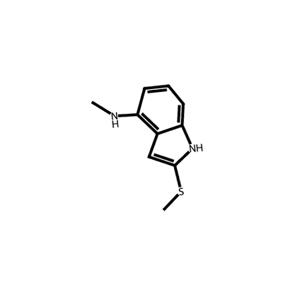 CNc1cccc2[nH]c(SC)cc12